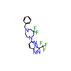 FC1(F)CN(Cc2ccccc2)CCN(c2ccc3nnc(C(F)(F)F)n3n2)C1